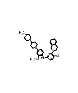 COc1cc(N2CCC(N3CCN(C)CC3)CC2)ccc1Nc1ncc(Cl)c(N2CCc3ccccc3C2)n1